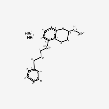 Br.Br.CCCNC1CCc2c(cccc2NCCCc2ccccc2)C1